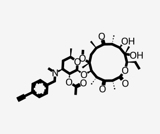 C#Cc1ccc(CN(C)[C@H]2C[C@@H](C)O[C@@H](O[C@@H]3[C@@H](C)C(=O)[C@@H](C)C(=O)O[C@H](CC)[C@@](C)(O)[C@H](O)[C@@H](C)C(=O)[C@H](C)C[C@@]3(C)OC)[C@@H]2OC(C)=O)cc1